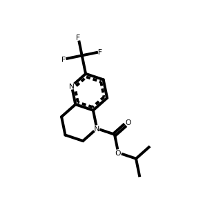 CC(C)OC(=O)N1CCCc2nc(C(F)(F)F)ccc21